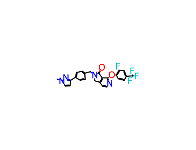 Cn1ccc(-c2ccc(CN3Cc4ccnc(Oc5ccc(C(F)(F)F)cc5F)c4C3=O)cc2)n1